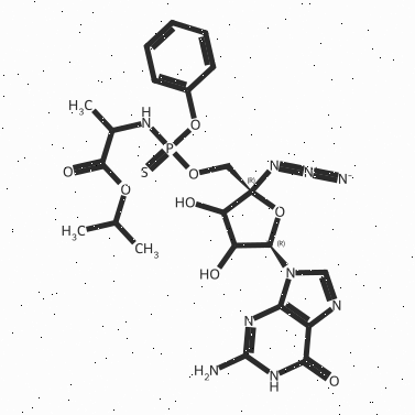 CC(C)OC(=O)C(C)NP(=S)(OC[C@@]1(N=[N+]=[N-])O[C@@H](n2cnc3c(=O)[nH]c(N)nc32)C(O)C1O)Oc1ccccc1